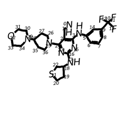 N=Cc1c(Nc2cccc(C(F)(F)F)c2)nc(NC2CCSC2)nc1N1CCC(N2CCOCC2)CC1